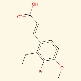 CCc1c(C=CC(=O)O)ccc(OC)c1Br